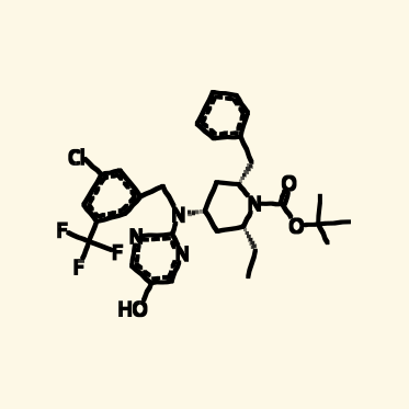 CC[C@@H]1C[C@H](N(Cc2cc(Cl)cc(C(F)(F)F)c2)c2ncc(O)cn2)C[C@H](Cc2ccccc2)N1C(=O)OC(C)(C)C